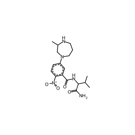 CC1CN(c2ccc([N+](=O)[O-])c(C(=O)NC(C(N)=O)C(C)C)c2)CCCN1